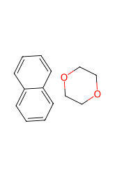 C1COCCO1.c1ccc2ccccc2c1